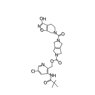 CC(C)(C)C(=O)Nc1cc(Cl)cnc1COC(=O)N1CC2=C(C1)CN(C(=O)N1CCc3c(O)noc3C1)C2